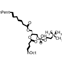 CCCCCC=CCC=CCC(=O)OC[C@H](COP(=O)(O)OCC[N+](C)(C)C)OC(=O)CC=CCCCCCCCC